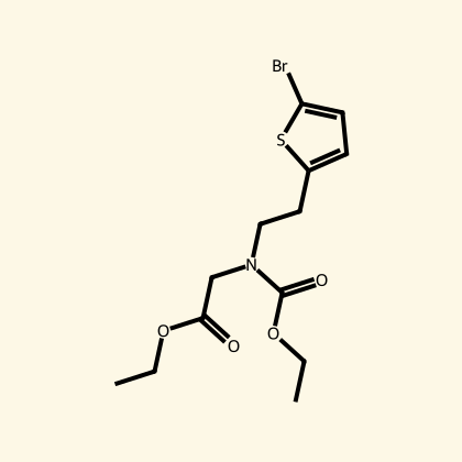 CCOC(=O)CN(CCc1ccc(Br)s1)C(=O)OCC